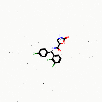 O=C1NCC(C(=O)N[C@@H](c2ccc(Cl)cc2)c2cccc(F)c2F)O1